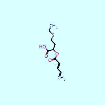 C=C/C=C/C(=O)OC(CCSCC)C(=O)O